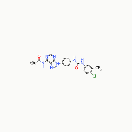 CC(C)(C)C(=O)Nc1ncnc2c1ncn2-c1ccc(NC(=O)Nc2ccc(Cl)c(C(F)(F)F)c2)cc1